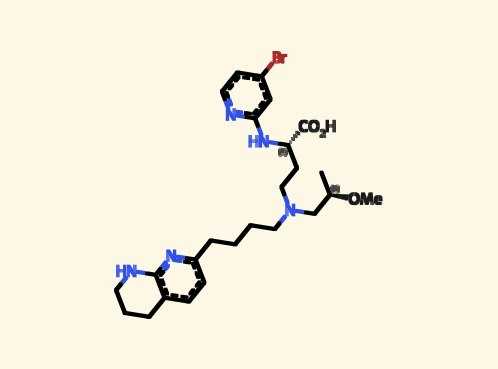 CO[C@H](C)CN(CCCCc1ccc2c(n1)NCCC2)CC[C@H](Nc1cc(Br)ccn1)C(=O)O